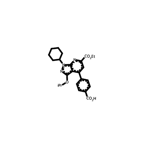 CCOC(=O)c1cc(-c2ccc(C(=O)O)cc2)c2c(OC(C)C)nn(C3CCCCC3)c2n1